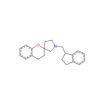 c1ccc2c(c1)CCC1(CCN(CC3CCc4ccccc43)C1)O2